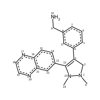 CN1CC(c2cccc(CN)c2)=C(c2ccc3nccnc3c2)N1C